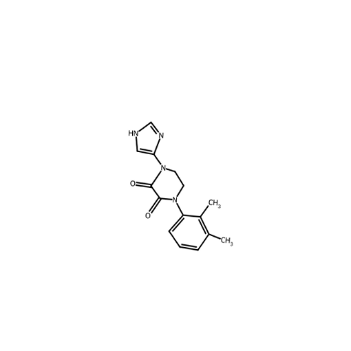 Cc1cccc(N2CCN(c3c[nH]cn3)C(=O)C2=O)c1C